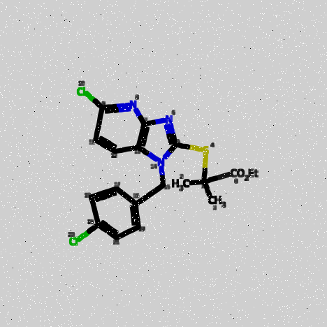 CCOC(=O)C(C)(C)Sc1nc2nc(Cl)ccc2n1Cc1ccc(Cl)cc1